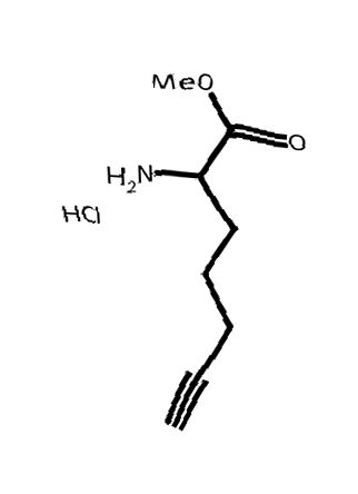 C#CCCCC(N)C(=O)OC.Cl